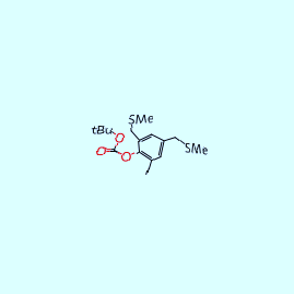 CSCc1cc(C)c(OC(=O)OC(C)(C)C)c(CSC)c1